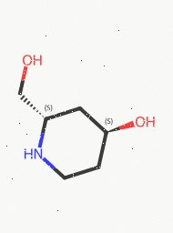 OC[C@@H]1C[C@@H](O)CCN1